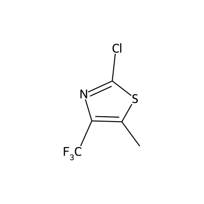 Cc1sc(Cl)nc1C(F)(F)F